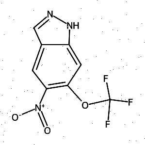 O=[N+]([O-])c1cc2cn[nH]c2cc1OC(F)(F)F